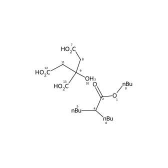 CCCCOC(=O)C(CCCC)CCCC.O=C(O)CC(O)(CC(=O)O)C(=O)O